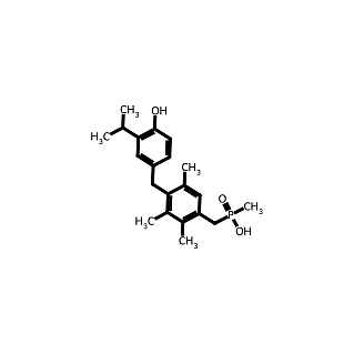 Cc1cc(CP(C)(=O)O)c(C)c(C)c1Cc1ccc(O)c(C(C)C)c1